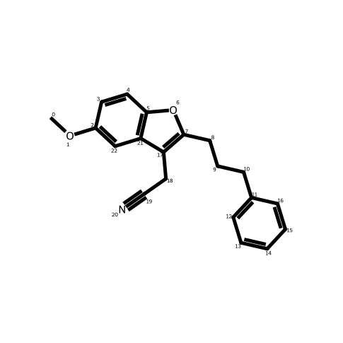 COc1ccc2oc(CCCc3ccccc3)c(CC#N)c2c1